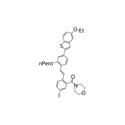 CCCCCc1cc(-c2cc3cc(OCC)ccc3s2)ccc1C=Cc1ccc(I)cc1C(=O)N1CCOCC1